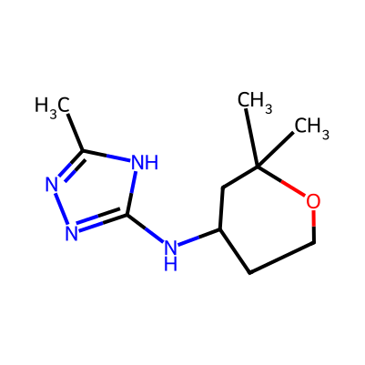 Cc1nnc(NC2CCOC(C)(C)C2)[nH]1